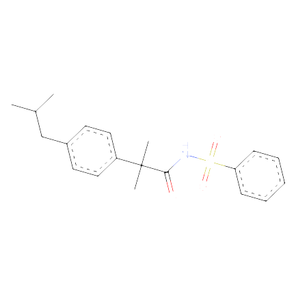 CC(C)Cc1ccc(C(C)(C)C(=O)NS(=O)(=O)c2ccccc2)cc1